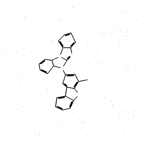 Cc1cc(N2c3nc4ccccc4n3C3C=CC=CC32)cc2c1oc1ccccc12